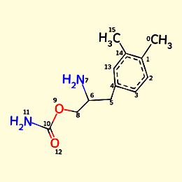 Cc1ccc(CC(N)COC(N)=O)cc1C